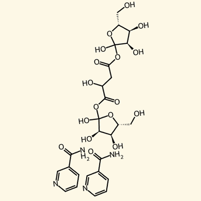 NC(=O)c1cccnc1.NC(=O)c1cccnc1.O=C(CC(O)C(=O)OC1(O)O[C@H](CO)[C@@H](O)[C@H]1O)OC1(O)O[C@H](CO)[C@@H](O)[C@H]1O